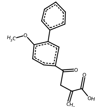 C=C(CC(=O)c1ccc(OC)c(-c2ccccc2)c1)C(=O)O